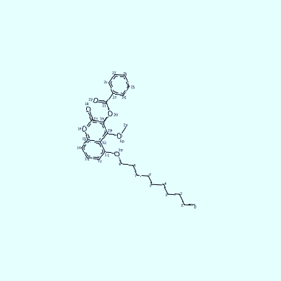 CCCCCCCCCCOc1cccc2oc(=O)c(OC(=O)c3ccccc3)c(OC)c12